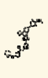 Nc1ncc(-c2ccc(C3(c4noc(-c5cnn(CC(=O)N6CCC(OC7CCCCO7)C6)c5)n4)CCC3)cc2)cn1